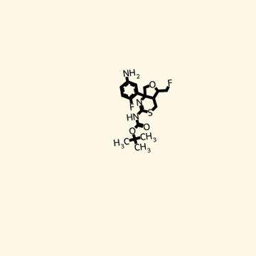 CC(C)(C)OC(=O)NC1=NC2(c3cc(N)ccc3F)COC(CF)C2CS1